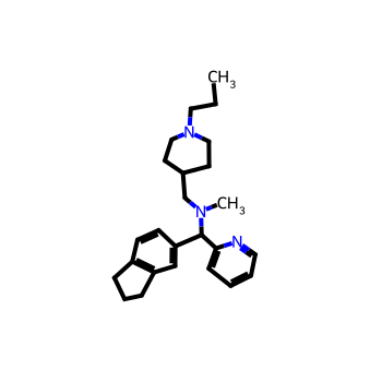 CCCN1CCC(CN(C)C(c2ccc3c(c2)CCC3)c2ccccn2)CC1